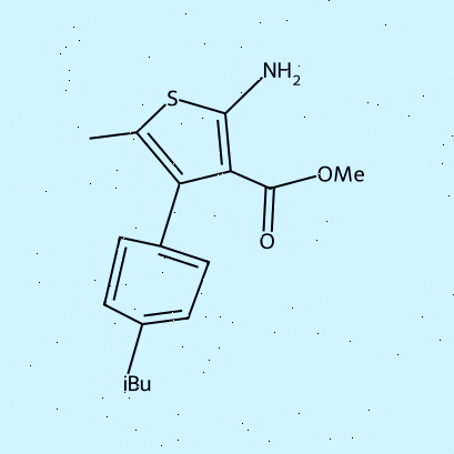 CCC(C)c1ccc(-c2c(C)sc(N)c2C(=O)OC)cc1